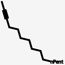 [CH2]CCCCCCCCCCCC#CC